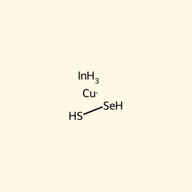 S[SeH].[Cu].[InH3]